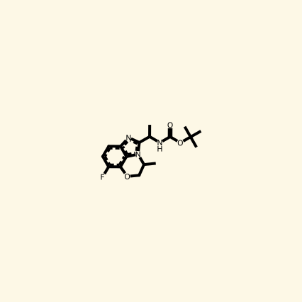 CC(NC(=O)OC(C)(C)C)c1nc2ccc(F)c3c2n1C(C)CO3